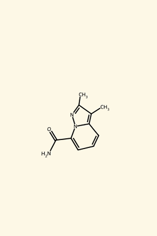 Cc1nn2c(C(N)=O)cccc2c1C